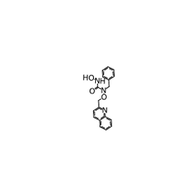 O=C(NO)N(Cc1ccccc1)OCc1ccc2ccccc2n1